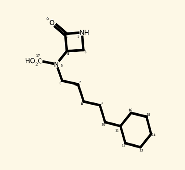 O=C1NCC1N(CCCCCC1CCCCC1)C(=O)O